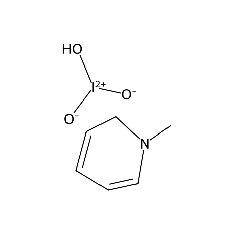 CN1C=CC=CC1.[O-][I+2]([O-])O